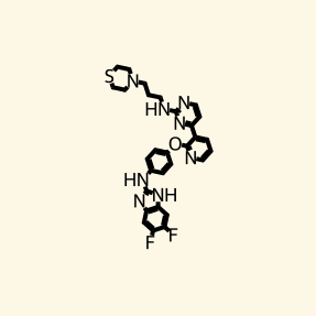 Fc1cc2nc(Nc3ccc(Oc4ncccc4-c4ccnc(NCCCN5CCSCC5)n4)cc3)[nH]c2cc1F